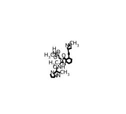 CNS(=O)(=O)CCn1c([C@@H](C)NC(=O)c2c(C)nn3cccnc23)nc2cccc(C#Cc3cnn(C)c3)c2c1=O